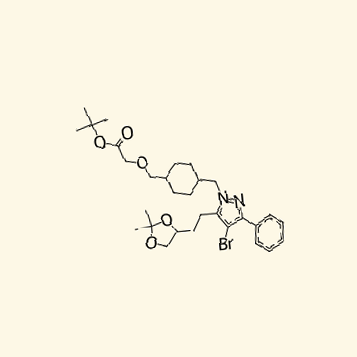 CC(C)(C)OC(=O)COCC1CCC(Cn2nc(-c3ccccc3)c(Br)c2CCC2COC(C)(C)O2)CC1